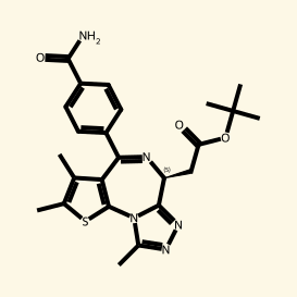 Cc1sc2c(c1C)C(c1ccc(C(N)=O)cc1)=N[C@@H](CC(=O)OC(C)(C)C)c1nnc(C)n1-2